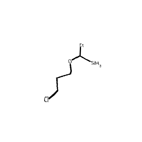 CCC([SiH3])OCCCCl